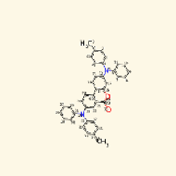 Cc1ccc(N(c2ccccc2)c2ccc3c(c2)oc(=O)c2cc(N(c4ccccc4)c4ccc(C)cc4)ccc23)cc1